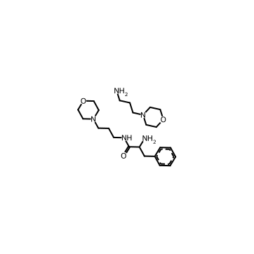 NC(Cc1ccccc1)C(=O)NCCCN1CCOCC1.NCCCN1CCOCC1